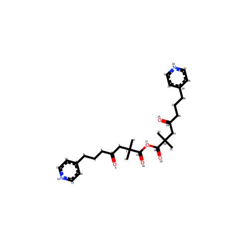 CC(C)(CC(=O)CCCc1ccncc1)C(=O)OC(=O)C(C)(C)CC(=O)CCCc1ccncc1